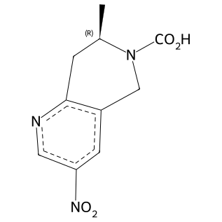 C[C@@H]1Cc2ncc([N+](=O)[O-])cc2CN1C(=O)O